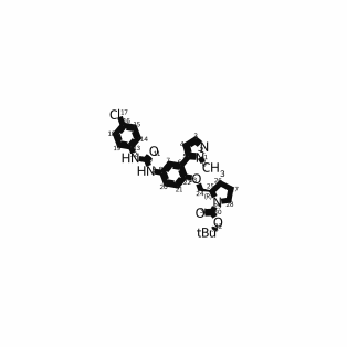 Cn1nccc1-c1cc(NC(=O)Nc2ccc(Cl)cc2)ccc1OC[C@H]1CCCN1C(=O)OC(C)(C)C